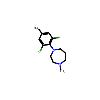 Cc1cc(F)c(N2CCCN(C)CC2)c(Cl)c1